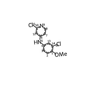 COc1ccc(Nc2ccnc(Cl)c2)cc1Cl